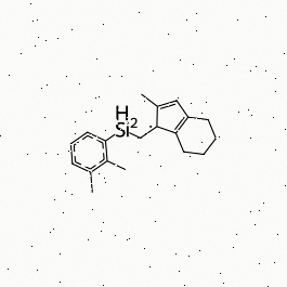 CC1=CC2=C(CCCC2)[C]1C[SiH2]c1cccc(C)c1C